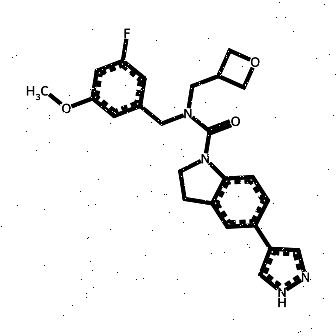 COc1cc(F)cc(CN(CC2COC2)C(=O)N2CCc3cc(-c4cn[nH]c4)ccc32)c1